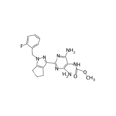 COC(=O)Nc1c(N)nc(-c2nn(Cc3ccccc3F)c3c2CCC3)nc1N